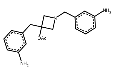 CC(=O)OC1(Cc2cccc(N)c2)CN(Cc2cccc(N)c2)C1